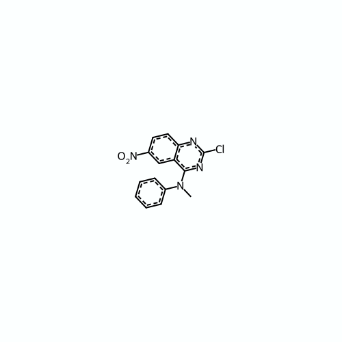 CN(c1ccccc1)c1nc(Cl)nc2ccc([N+](=O)[O-])cc12